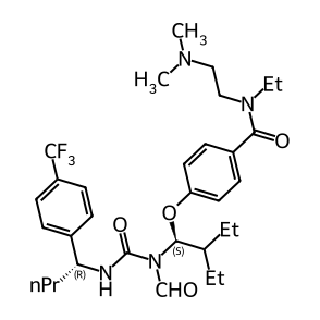 CCC[C@@H](NC(=O)N(C=O)[C@@H](Oc1ccc(C(=O)N(CC)CCN(C)C)cc1)C(CC)CC)c1ccc(C(F)(F)F)cc1